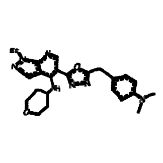 CCn1ncc2c(NC3CCOCC3)c(-c3nnc(Cc4ccc(N(C)C)cc4)o3)cnc21